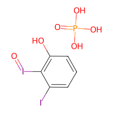 O=Ic1c(O)cccc1I.O=P(O)(O)O